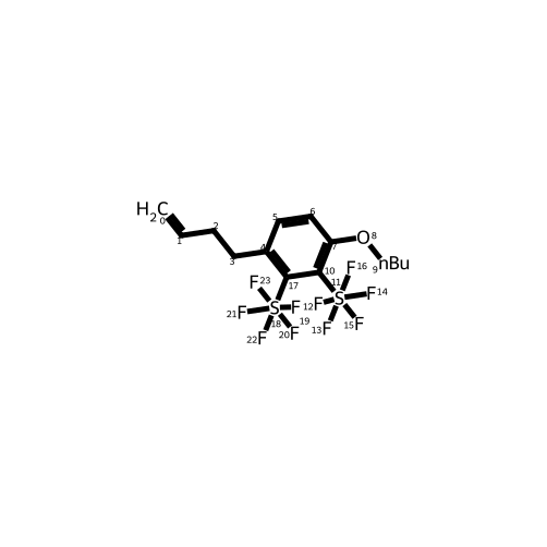 C=CCCc1ccc(OCCCC)c(S(F)(F)(F)(F)F)c1S(F)(F)(F)(F)F